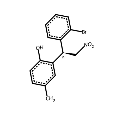 Cc1ccc(O)c([C@H](C[N+](=O)[O-])c2ccccc2Br)c1